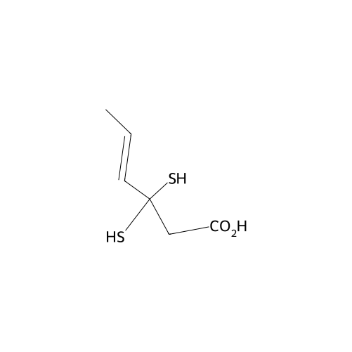 CC=CC(S)(S)CC(=O)O